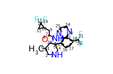 C[C@@H]1CNC[C@](NC(=O)CC2CC2(F)F)(c2ccc(C(F)F)c3nccnc23)C1